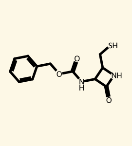 O=C(NC1C(=O)NC1CS)OCc1ccccc1